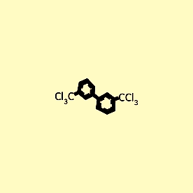 ClC(Cl)(Cl)c1cccc(-c2cccc(C(Cl)(Cl)Cl)c2)c1